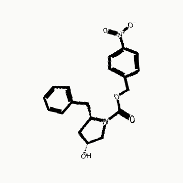 O=C(OCc1ccc([N+](=O)[O-])cc1)N1C[C@H](O)C[C@H]1Cc1ccccc1